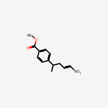 CC(C/C=C/[N+](=O)[O-])c1ccc(C(=O)OC(C)(C)C)cc1